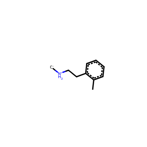 [CH2-][NH2+]CCc1ccccc1C